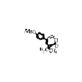 CCC/C(=C\C1C(C(=O)Cl)C1(C)C)c1ccc(OC)cc1